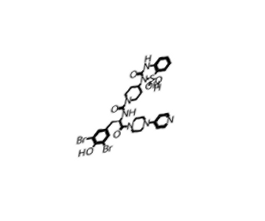 O=C(N[C@H](Cc1cc(Br)c(O)c(Br)c1)C(=O)N1CCN(c2ccncc2)CC1)N1CCC(N2C(=O)Nc3ccccc3S2(O)O)CC1